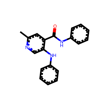 Cc1cc(C(=O)Nc2ccccc2)c(Nc2ccccc2)cn1